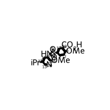 COc1ccc(S(=O)(=O)Nc2cc(C(C)C)cnc2OC)cc1C(=O)O